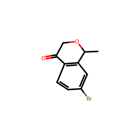 CC1OCC(=O)c2ccc(Br)cc21